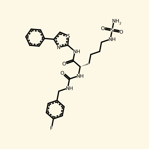 NS(=O)(=O)NCCCC[C@H](NC(=O)NCc1ccc(F)cc1)C(=O)Nc1nc(-c2ccccc2)cs1